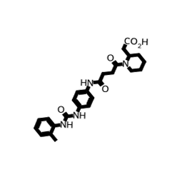 Cc1ccccc1NC(=O)Nc1ccc(NC(=O)CCC(=O)N2CCCCC2CC(=O)O)cc1